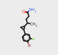 CC(CCC(N)=O)C1CC1c1ccc(Br)c(F)c1